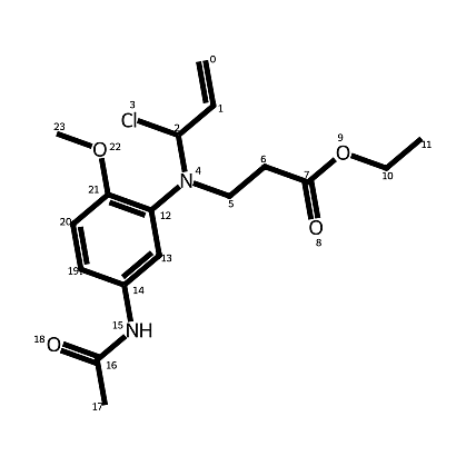 C=CC(Cl)N(CCC(=O)OCC)c1cc(NC(C)=O)[c]cc1OC